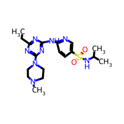 CCc1nc(Nc2ccc(S(=O)(=O)NC(C)C)cn2)nc(N2CCN(C)CC2)n1